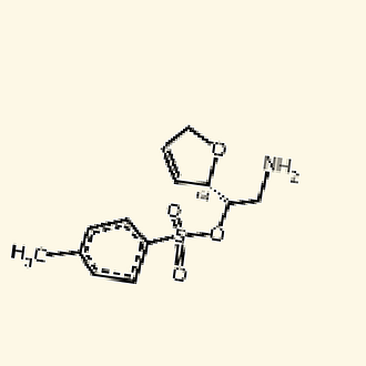 Cc1ccc(S(=O)(=O)OC(CN)[C@@H]2C=CCO2)cc1